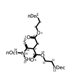 CCCCCCCCCCCCOC(=O)CC(C(=O)OCCCCCCCCCCCC)C(=S)N(S)CCCCCCCC